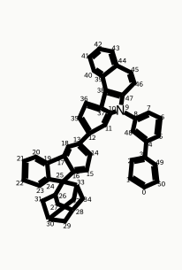 c1ccc(-c2cccc(-n3c4cc(-c5ccc6c(c5)-c5ccccc5C65C6CC7CC(C6)CC5C7)ccc4c4c5ccccc5ccc43)c2)cc1